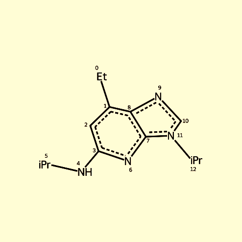 CCc1cc(NC(C)C)nc2c1ncn2C(C)C